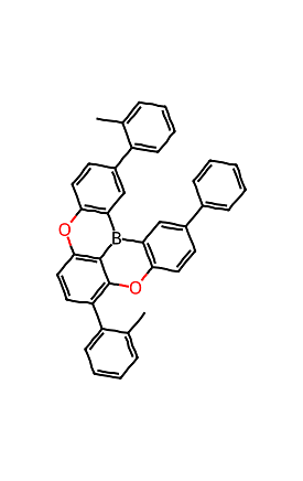 Cc1ccccc1-c1ccc2c(c1)B1c3cc(-c4ccccc4)ccc3Oc3c(-c4ccccc4C)ccc(c31)O2